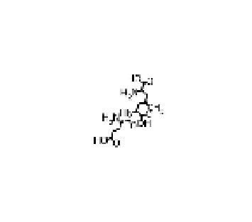 C=C(CC(N)C(=O)O)CC(NC(=O)[C@H](N)CCC(=O)O)C(=O)O